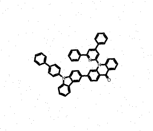 O=c1c2ccccc2n(-c2cc(-c3ccccc3)cc(-c3ccccc3)n2)c2cc(-c3ccc4c(c3)c3ccccc3n4-c3ccc(-c4ccccc4)cc3)ccc12